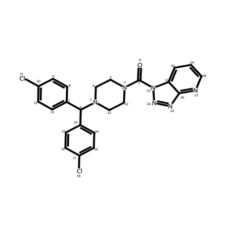 O=C(N1CCN(C(c2ccc(Cl)cc2)c2ccc(Cl)cc2)CC1)n1nnc2ncccc21